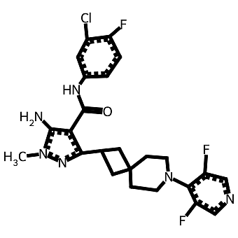 Cn1nc(C2CC3(CCN(c4c(F)cncc4F)CC3)C2)c(C(=O)Nc2ccc(F)c(Cl)c2)c1N